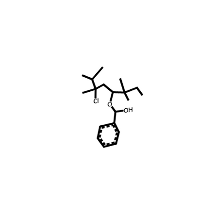 CCC(C)(C)C(CC(C)(Cl)C(C)C)OC(O)c1ccccc1